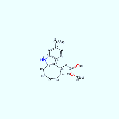 COc1ccc2c3c([nH]c2c1)CCCCCC3CC(=O)OC(C)(C)C